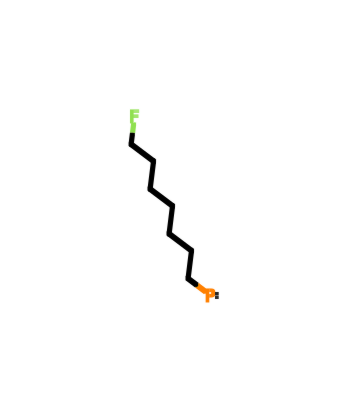 FCCCCCCC[P]